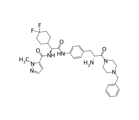 Cn1nccc1C(=O)N[C@H](C(=O)Nc1ccc(C[C@@H](N)C(=O)N2CCN(Cc3ccccc3)CC2)cc1)C1CCC(F)(F)CC1